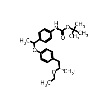 [CH2][C@@H](Cc1ccc(OC(C)c2ccc(NC(=O)OC(C)(C)C)cc2)cc1)OCC